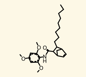 CCCCCCCCCC1C2C=CC(C2)C1C(=O)Nc1c(OC)cc(OC)cc1OC